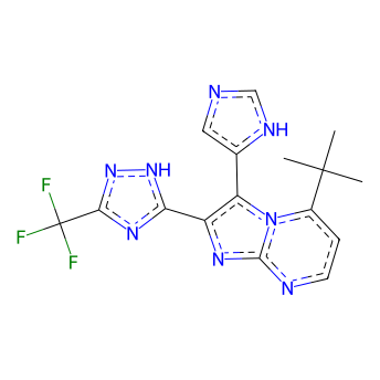 CC(C)(C)c1ccnc2nc(-c3nc(C(F)(F)F)n[nH]3)c(-c3cnc[nH]3)n12